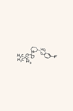 CC(C)(C)OC(=O)N1CCCC(COc2ccc(F)cc2O)C1